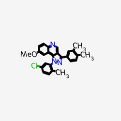 COc1ccc2ncc3c(-c4ccc(C)c(C)c4)nn(-c4cc(Cl)ccc4C)c3c2c1